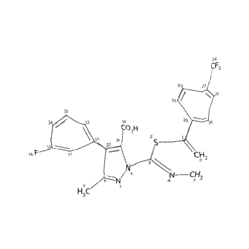 C=C(S/C(=N\C)n1nc(C)c(-c2cccc(F)c2)c1C(=O)O)c1ccc(C(F)(F)F)cc1